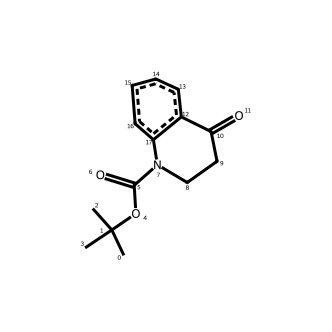 CC(C)(C)OC(=O)N1CCC(=O)c2ccccc21